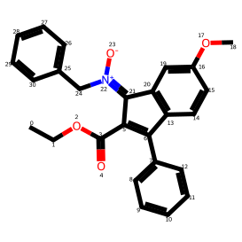 CCOC(=O)C1=C(c2ccccc2)c2ccc(OC)cc2/C1=[N+](\[O-])Cc1ccccc1